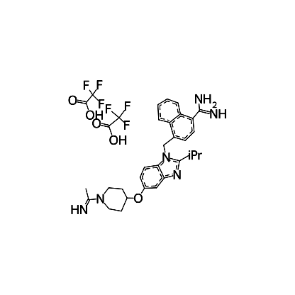 CC(=N)N1CCC(Oc2ccc3c(c2)nc(C(C)C)n3Cc2ccc(C(=N)N)c3ccccc23)CC1.O=C(O)C(F)(F)F.O=C(O)C(F)(F)F